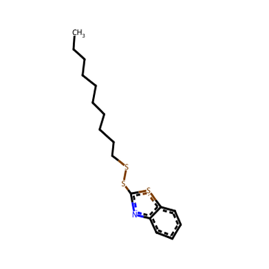 CCCCCCCCCCSSc1nc2ccccc2s1